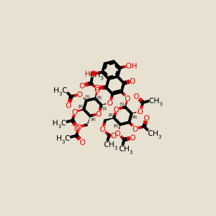 CC(=O)OC[C@H]1O[C@@H](OC2=C(O[C@@H]3O[C@H](COC(C)=O)[C@@H](OC(C)=O)C(OC(C)=O)[C@H]3OC(C)=O)C(=O)c3c(O)ccc(O)c3C2=O)[C@H](OC(C)=O)[C@@H](OC(C)=O)[C@@H]1OC(C)=O